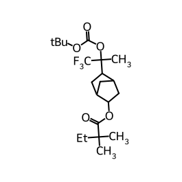 CCC(C)(C)C(=O)OC1CC2CC1CC2C(C)(OC(=O)OC(C)(C)C)C(F)(F)F